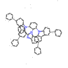 c1ccc(-c2ccc3c(c2)c2cc(-c4ccccc4)ccc2n3-c2cccc(-n3c4ccc(-c5ccccc5)cc4c4cc(-c5ccccc5)ccc43)c2-n2c(-c3ccccc3)nc3ccccc32)cc1